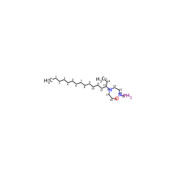 CCCCCCCCCCCCCC(CC)N1CCON(P)CC1